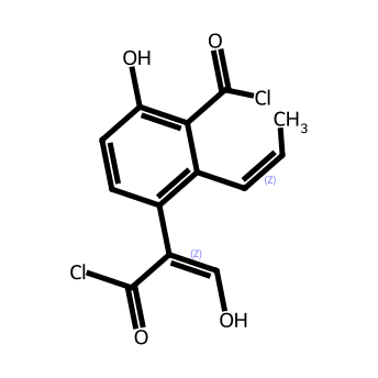 C/C=C\c1c(/C(=C/O)C(=O)Cl)ccc(O)c1C(=O)Cl